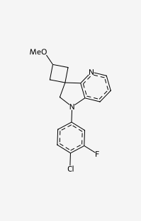 COC1CC2(C1)CN(c1ccc(Cl)c(F)c1)c1cccnc12